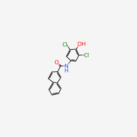 O=C(Nc1cc(Cl)c(O)c(Cl)c1)c1ccc2ccccc2c1